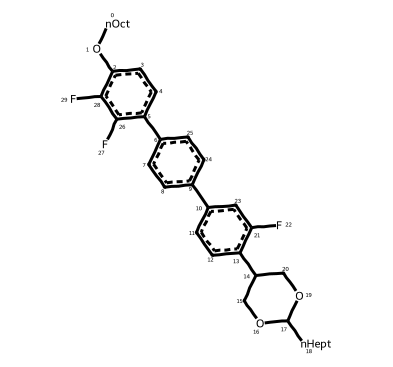 CCCCCCCCOc1ccc(-c2ccc(-c3ccc(C4COC(CCCCCCC)OC4)c(F)c3)cc2)c(F)c1F